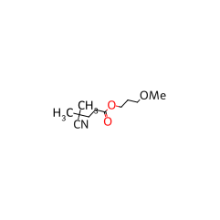 COCCCOC(=O)CCC(C)(C)C#N